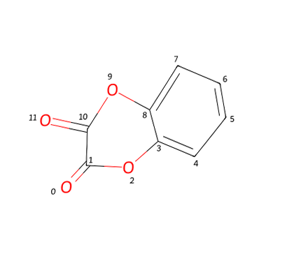 O=c1oc2ccccc2oc1=O